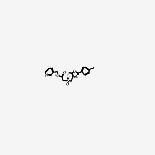 Cc1ccc(-c2nc(CS(=O)(=O)CC(=O)NCc3cccnc3)c(C)o2)cc1